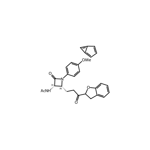 COc1ccc(N2C(=O)[C@@H](NC(C)=O)[C@H]2CCC(=O)C2Cc3ccccc3O2)cc1.c1cc2cc-2c1